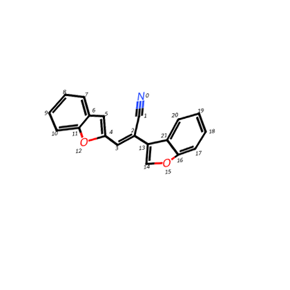 N#C/C(=C\c1cc2ccccc2o1)c1coc2ccccc12